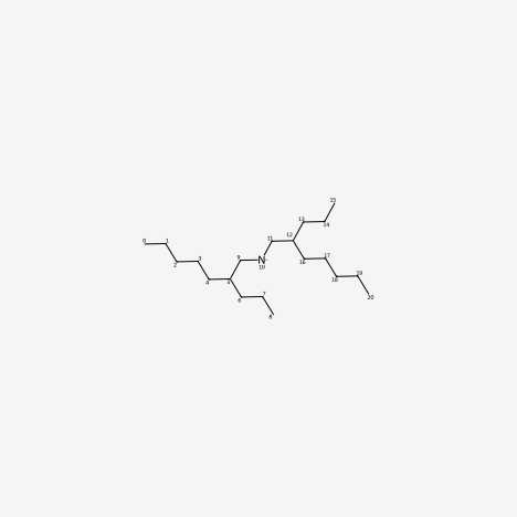 CCCCCC(CCC)C[N]CC(CCC)CCCCC